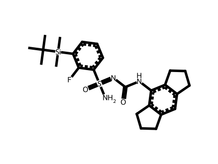 CC(C)(C)[Si](C)(C)c1cccc(S(N)(=O)=NC(=O)Nc2c3c(cc4c2CCC4)CCC3)c1F